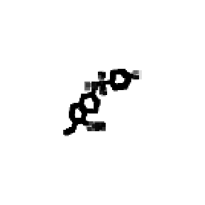 C=Cc1ccc2c(c1C=O)CCC(NS(=O)(=O)c1ccc(Cl)cc1)C2